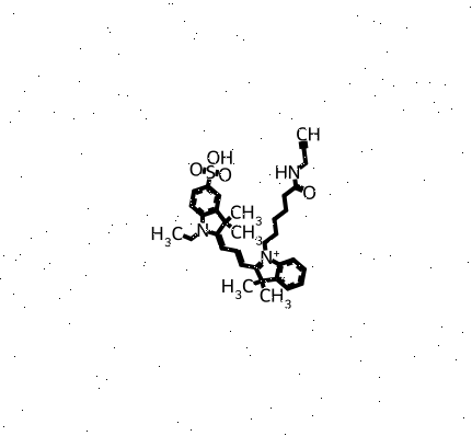 C#CCNC(=O)CCCCC[N+]1=C(/C=C/C=C2/N(CC)c3ccc(S(=O)(=O)O)cc3C2(C)C)C(C)(C)c2ccccc21